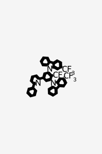 FC(F)(F)c1ccc2c3ccccc3n(-c3cc(-c4cccc(-c5ccccc5)n4)cc(-n4c5ccccc5c5ccc(C(F)(F)F)cc54)c3C(F)(F)F)c2c1